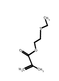 C=C(C)C(=O)OCCSCC